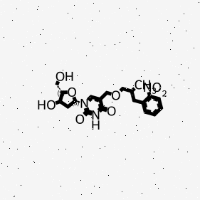 CC(COCc1cn([C@@H]2CC(O)[C@H](CO)O2)c(=O)[nH]c1=O)Cc1ccccc1[N+](=O)[O-]